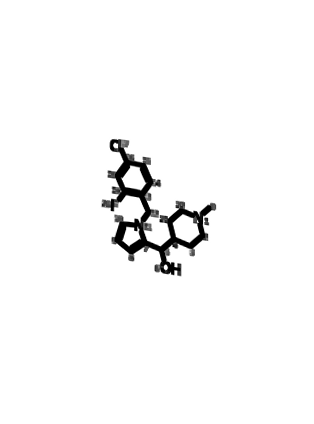 CN1CCC(C(O)c2cccn2Cc2ccc(Cl)cc2F)CC1